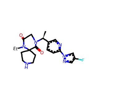 CCN1C(=O)CN([C@@H](C)c2ccc(-n3cc(F)cn3)nc2)C(=O)C12CCNCC2